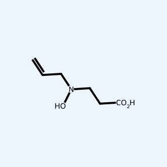 C=CCN(O)CCC(=O)O